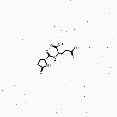 O=C(O)CCC(NC(=O)[C@@H]1CCC(=O)N1)C(=O)O